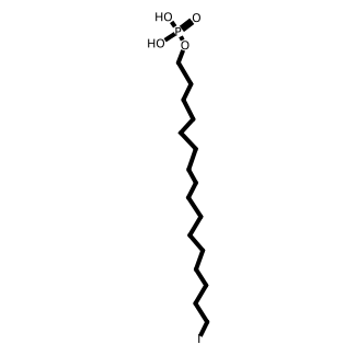 O=P(O)(O)OCCCCCCCCCCCCCCCCI